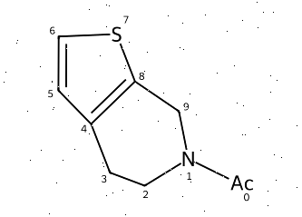 CC(=O)N1CCc2ccsc2C1